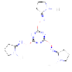 CN1CCCC1=NOc1nc(O/N=C2/CCCN2C)nc(O/N=C2\CCCN2C)n1